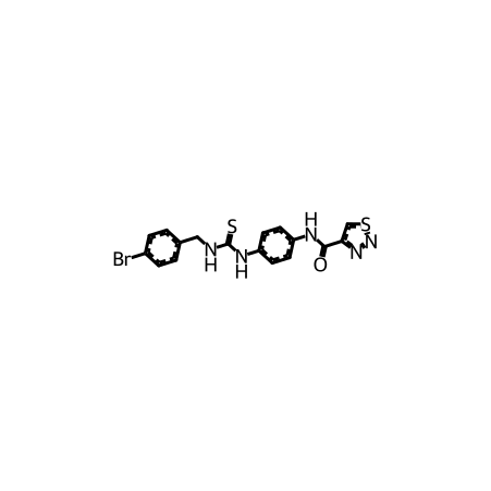 O=C(Nc1ccc(NC(=S)NCc2ccc(Br)cc2)cc1)c1csnn1